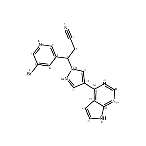 N#CCC(c1cncc(Br)c1)n1cc(-c2ncnc3[nH]ccc23)cn1